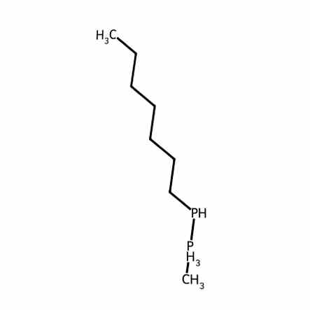 CCCCCCCP[PH3]C